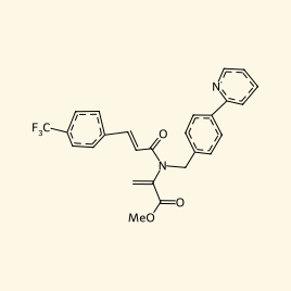 C=C(C(=O)OC)N(Cc1ccc(-c2ccccn2)cc1)C(=O)C=Cc1ccc(C(F)(F)F)cc1